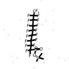 C[Si](C)(C)OS(=O)(=O)C(F)(F)C(F)(F)C(F)(F)C(F)(F)C(F)(F)C(F)(F)C(F)(F)C(F)(F)C(F)(F)F